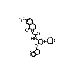 O=C(CN1CCc2ccc(C(F)(F)F)cc2C1=O)NC1CN(C2CCOCC2)C[C@@H]1OC1CCc2ccsc21